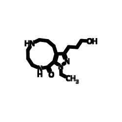 CCn1nc(CCCO)c2c1C(=O)NCCCNCCC2